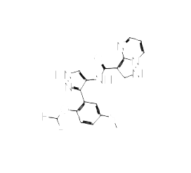 CSc1ccc(OC(F)F)c(-c2n[nH]cc2NC(=O)C2=C3N=CC=CN3NC2)c1